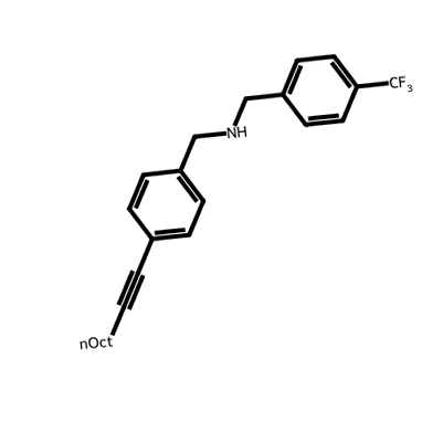 CCCCCCCCC#Cc1ccc(CNCc2ccc(C(F)(F)F)cc2)cc1